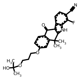 CC(C)(O)OCCCOc1ccc2c(c1)C(C)(C)c1[nH]c3c(F)c(C#N)ccc3c1C2=O